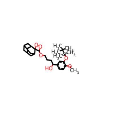 COc1ccc(C(O)CCCOC2OOC23C2CC4CC(C2)CC3C4)cc1O[Si](C)(C)C(C)(C)C